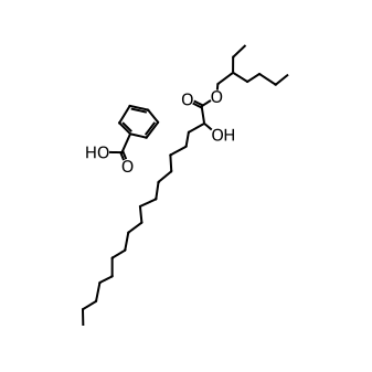 CCCCCCCCCCCCCCCCC(O)C(=O)OCC(CC)CCCC.O=C(O)c1ccccc1